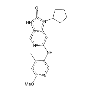 COc1cc(C)c(Nc2cc3c(cn2)[nH]c(=O)n3C2CCCC2)cn1